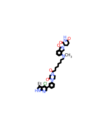 CCc1c[nH]c2ncc(-c3cccc(N4CCN(C(=O)CCCCCCCN(C)c5cccc6c5CN(C5CCC(=O)NC5=O)C6=O)CC4=O)c3)c(Cl)c12